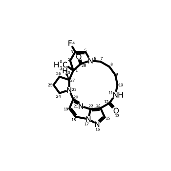 CC12CC(F)=CN(CCCCNC(=O)c3cnn4ccc(nc34)N3CCC[C@@H]31)C2=O